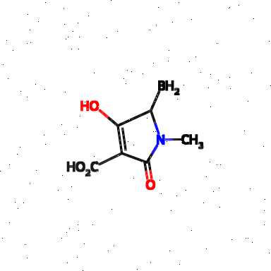 BC1C(O)=C(C(=O)O)C(=O)N1C